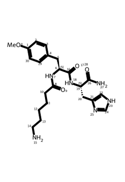 COc1ccc(C[C@H](NC(=O)CCCCCN)C(=O)N[C@@H](Cc2c[nH]cn2)C(N)=O)cc1